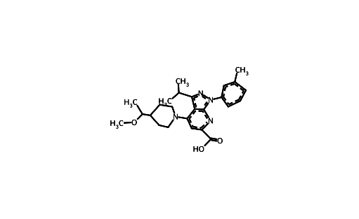 COC(C)C1CCN(c2cc(C(=O)O)nc3c2c(C(C)C)nn3-c2cccc(C)c2)CC1